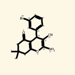 CC1(C)CC(=O)C2=C(C1)OC(N)=C(C#N)C2c1cccc(Br)c1